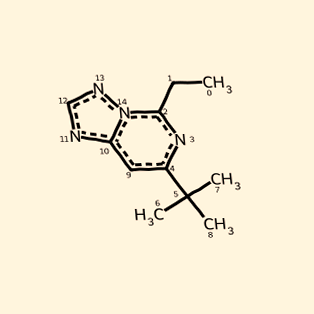 CCc1nc(C(C)(C)C)cc2ncnn12